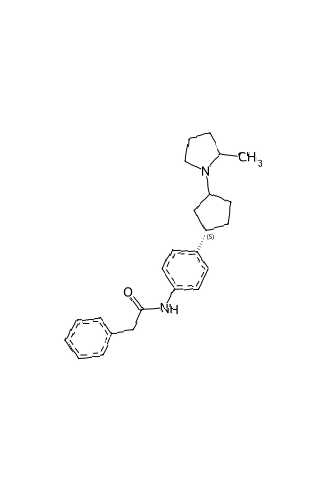 CC1CCCN1C1CC[C@H](c2ccc(NC(=O)Cc3ccccc3)cc2)C1